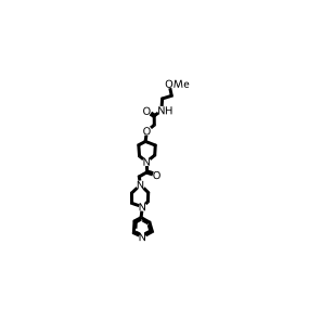 COCCNC(=O)COC1CCN(C(=O)CN2CCN(c3ccncc3)CC2)CC1